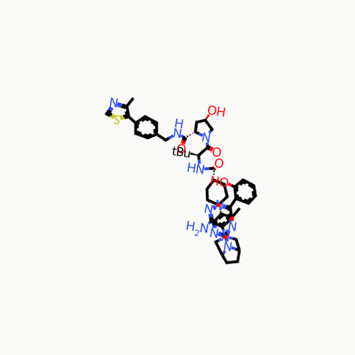 Cc1ncsc1-c1ccc(CNC(=O)[C@@H]2C[C@@H](O)CN2C(=O)[C@@H](NC(=O)[C@H]2CC[C@@H](c3cnc(N4C5CCC4CN(c4cc(-c6ccccc6O)nnc4N)C5)nc3C)CC2)C(C)(C)C)cc1